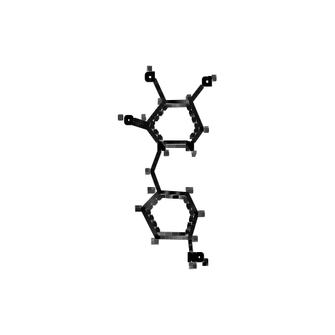 O=c1c(Cl)c(Cl)cnn1Cc1ccc([N+](=O)[O-])cc1